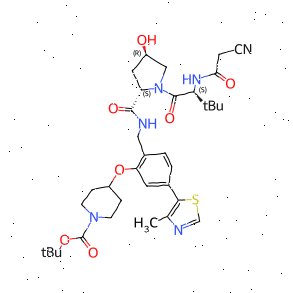 Cc1ncsc1-c1ccc(CNC(=O)[C@@H]2C[C@@H](O)CN2C(=O)[C@@H](NC(=O)CC#N)C(C)(C)C)c(OC2CCN(C(=O)OC(C)(C)C)CC2)c1